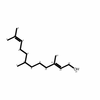 CC(C)=CCCC(C)CCC/C(C)=C/CO